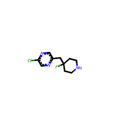 FC1(Cc2cnc(Cl)cn2)CCNCC1